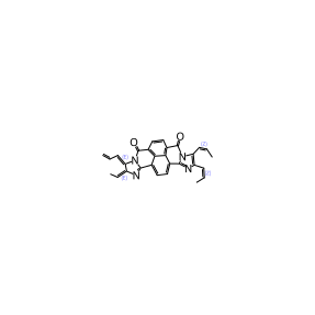 C=C/C=c1\c(=C/C)nc2c3ccc4c5c(ccc(c(=O)n12)c35)c(=O)n1c(/C=C\C)c(/C=C\C)nc41